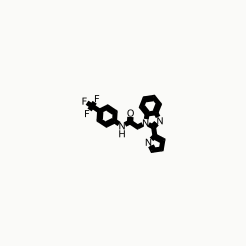 O=C(Cn1c(C2=CCC=N2)nc2ccccc21)Nc1ccc(C(F)(F)F)cc1